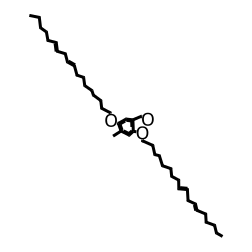 CCCCCC=CCC=CCCCCCCCCOc1cc(C=O)c(OCCCCCCCCC=CCC=CCCCCC)cc1C